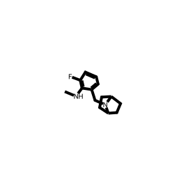 CNc1c(F)cccc1CN1C2CCC1CC2